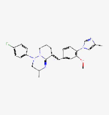 COc1cc(/C=C2\CCCN3C2=NC(C)CN3c2ccc(F)cc2)ccc1-n1cnc(C)c1